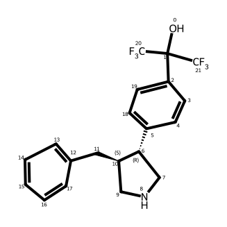 OC(c1ccc([C@@H]2CNC[C@H]2Cc2ccccc2)cc1)(C(F)(F)F)C(F)(F)F